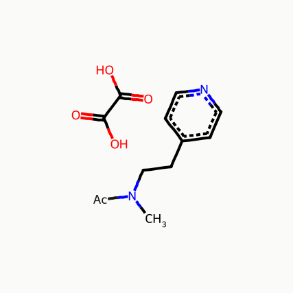 CC(=O)N(C)CCc1ccncc1.O=C(O)C(=O)O